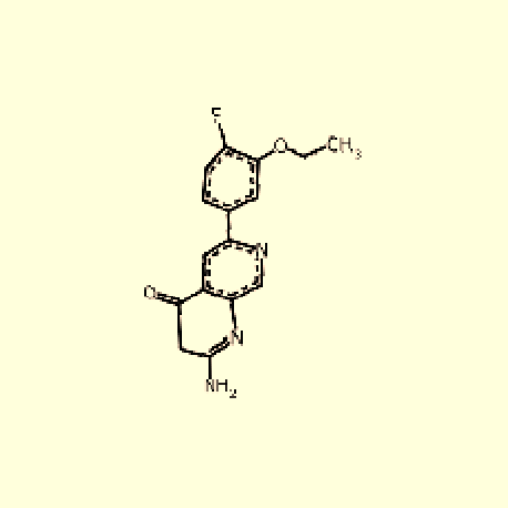 CCOc1cc(-c2cc3c(cn2)N=C(N)CC3=O)ccc1F